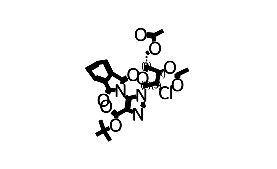 CC(=O)OC[C@H]1O[C@@H](n2cnc(C(=O)OC(C)(C)C)c2N2C(=O)c3ccccc3C2=O)[C@@H](Cl)[C@@H]1OC(C)=O